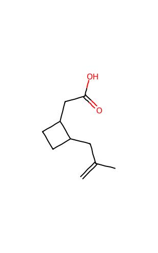 C=C(C)CC1CCC1CC(=O)O